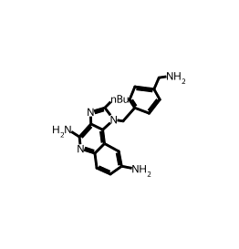 CCCCc1nc2c(N)nc3ccc(N)cc3c2n1Cc1ccc(CN)cc1